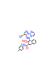 Cc1ccc(NC(=O)c2cc3ccccc3c(/N=N/c3c(C#N)cnn3-c3ncccn3)c2O)cc1